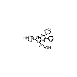 CN(CCO)c1nc(N2CCNCC2)nc2nc(N3CCOCC3)c(-c3ccccc3)nc12